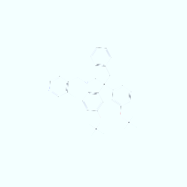 Fc1cnccc1CNCC(Cc1ccccc1)(c1cccc(OC(F)(F)F)c1)c1cccc(OC(F)(F)F)c1